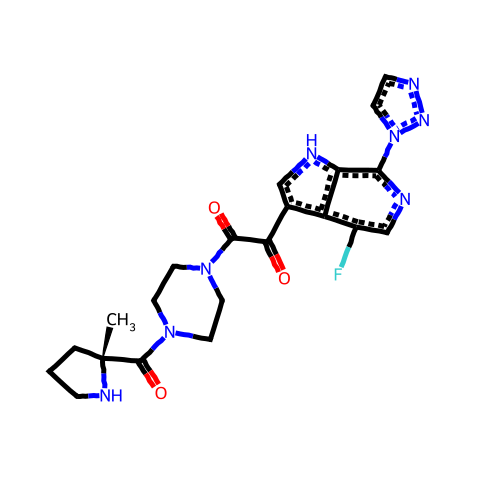 C[C@]1(C(=O)N2CCN(C(=O)C(=O)c3c[nH]c4c(-n5ccnn5)ncc(F)c34)CC2)CCCN1